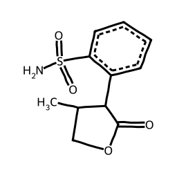 CC1COC(=O)C1c1ccccc1S(N)(=O)=O